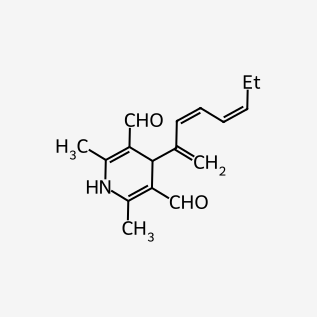 C=C(/C=C\C=C/CC)C1C(C=O)=C(C)NC(C)=C1C=O